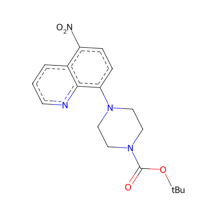 CC(C)(C)OC(=O)N1CCN(c2ccc([N+](=O)[O-])c3cccnc23)CC1